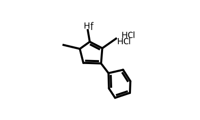 CC1=[C]([Hf])C(C)C=C1c1ccccc1.Cl.Cl